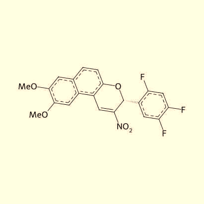 COc1cc2ccc3c(c2cc1OC)C=C([N+](=O)[O-])[C@@H](c1cc(F)c(F)cc1F)O3